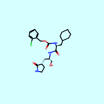 O=C(N[C@@H](CC1CCCCC1)C(=O)N[C@H](CO)C[C@@H]1CCNC1=O)OCc1ccccc1Cl